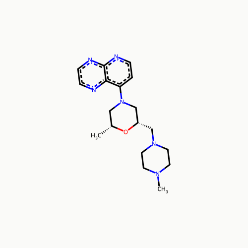 C[C@@H]1CN(c2ccnc3nccnc23)C[C@H](CN2CCN(C)CC2)O1